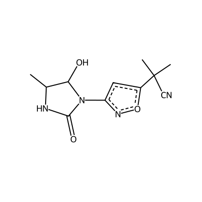 CC1NC(=O)N(c2cc(C(C)(C)C#N)on2)C1O